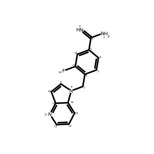 N=C(N)c1ccc(Cn2ccc3ncccc32)c(F)c1